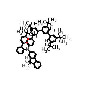 CC(C)(C)c1ccc(-c2ccccc2N(c2ccc(-c3cc(-c4cc(-c5cc(C(C)(C)C)cc(C(C)(C)C)c5)cc(C(C)(C)C)c4)cc(C(C)(C)C)c3)cc2)c2ccc3c(c2)C(C)(C)c2ccccc2-3)cc1